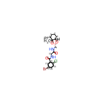 CC(C)[C@@H]1CCC[C@H]2OB(CNC(=O)CNC(=O)c3cc(Br)ccc3Cl)O[C@]21C